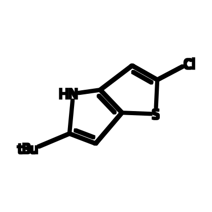 CC(C)(C)c1cc2sc(Cl)cc2[nH]1